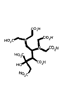 O=C(O)CN(CC(=O)O)CC(C(C(=O)O)C(O)(CC(=O)O)C(=O)O)N(CC(=O)O)CC(=O)O